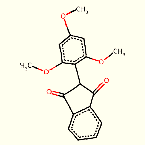 COc1cc(OC)c(C2C(=O)c3ccccc3C2=O)c(OC)c1